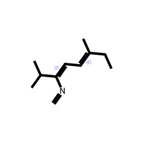 C=N/C(=C\C=C(/C)CC)C(C)C